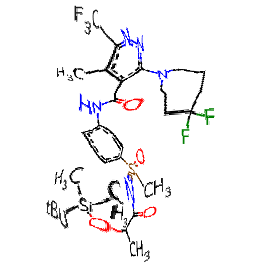 Cc1c(C(F)(F)F)nnc(N2CCCC(F)(F)CC2)c1C(=O)Nc1cccc(S(C)(=O)=NC(=O)C(C)O[Si](C)(C)C(C)(C)C)c1